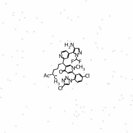 CC(=O)[C@H](C)CCC[C@@H](c1cc(-c2c(N)cnn2C(F)F)ccn1)c1cn(C)c(-c2cc(Cl)ccc2-n2cc(Cl)nn2)cc1=O